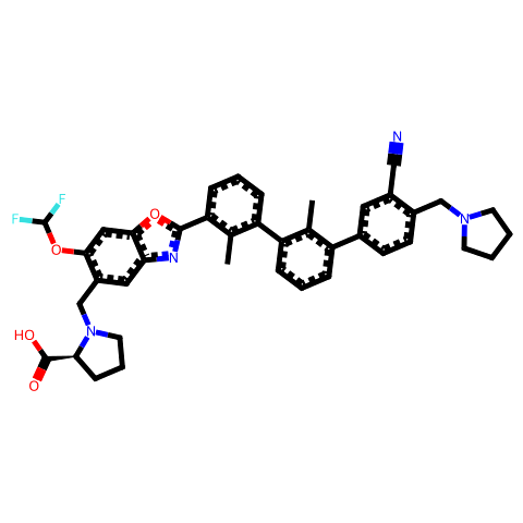 Cc1c(-c2ccc(CN3CCCC3)c(C#N)c2)cccc1-c1cccc(-c2nc3cc(CN4CCC[C@H]4C(=O)O)c(OC(F)F)cc3o2)c1C